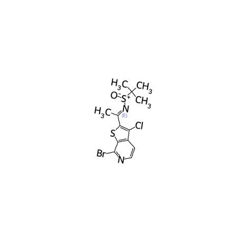 C/C(=N\[S+]([O-])C(C)(C)C)c1sc2c(Br)nccc2c1Cl